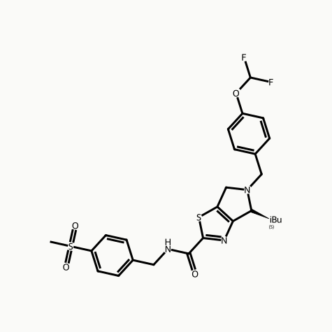 CC[C@H](C)C1c2nc(C(=O)NCc3ccc(S(C)(=O)=O)cc3)sc2CN1Cc1ccc(OC(F)F)cc1